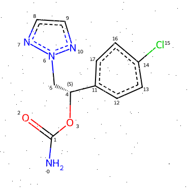 NC(=O)O[C@H](Cn1nccn1)c1ccc(Cl)cc1